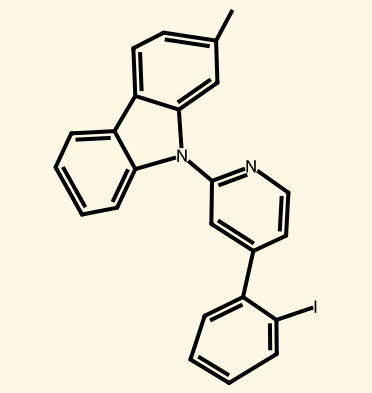 Cc1ccc2c3ccccc3n(-c3cc(-c4ccccc4I)ccn3)c2c1